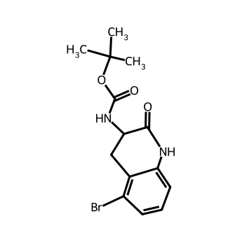 CC(C)(C)OC(=O)NC1Cc2c(Br)cccc2NC1=O